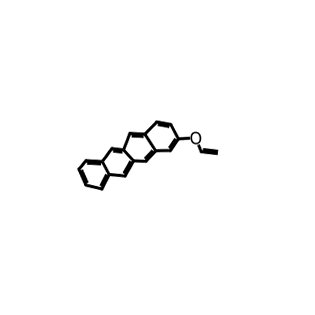 C=COc1ccc2cc3cc4ccccc4cc3cc2c1